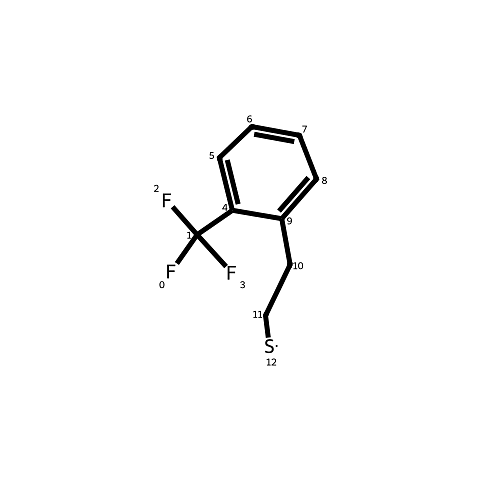 FC(F)(F)c1ccccc1CC[S]